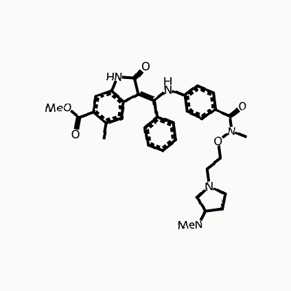 CNC1CCN(CCON(C)C(=O)c2ccc(N/C(=C3\C(=O)Nc4cc(C(=O)OC)c(C)cc43)c3ccccc3)cc2)C1